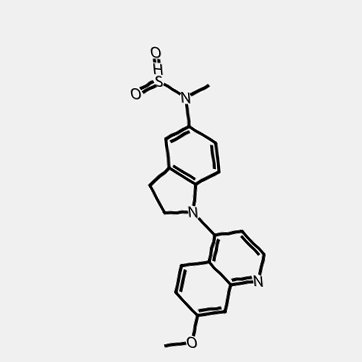 COc1ccc2c(N3CCc4cc(N(C)[SH](=O)=O)ccc43)ccnc2c1